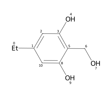 CCc1cc(O)c(CO)c(O)c1